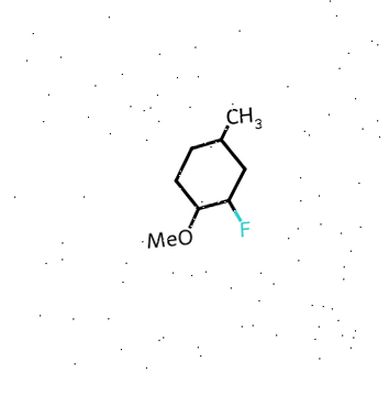 COC1CCC(C)CC1F